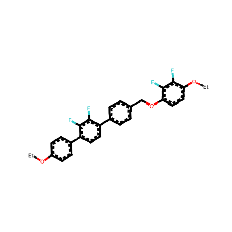 CCOc1ccc(-c2ccc(-c3ccc(COc4ccc(OCC)c(F)c4F)cc3)c(F)c2F)cc1